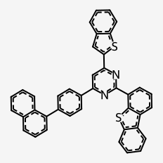 c1ccc2sc(-c3cc(-c4ccc(-c5cccc6ccccc56)cc4)nc(-c4cccc5c4sc4ccccc45)n3)cc2c1